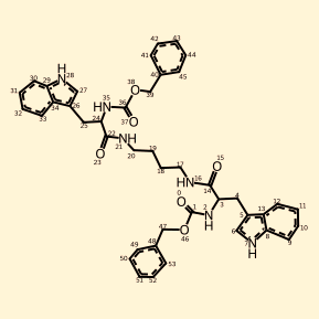 O=C(NC(Cc1c[nH]c2ccccc12)C(=O)NCCCCNC(=O)C(Cc1c[nH]c2ccccc12)NC(=O)OCc1ccccc1)OCc1ccccc1